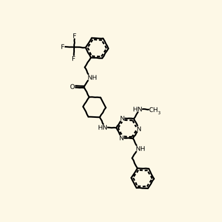 CNc1nc(NCc2ccccc2)nc(NC2CCC(C(=O)NCc3ccccc3C(F)(F)F)CC2)n1